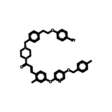 Cc1ccc(COc2ccc(Oc3ccc(C=CC(=O)N4CCN(Cc5ccc(CCOc6ccc(C(C)C)cc6)cc5)CC4)c(C)c3)nc2)cc1